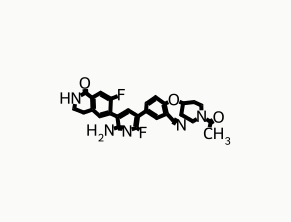 CC(=O)N1CCC(Oc2ccc(-c3cc(-c4cc5c(cc4F)C(=O)NCC5)c(N)nc3F)cc2C#N)CC1